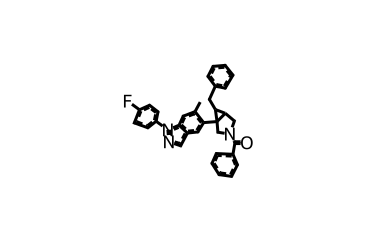 Cc1cc2c(cnn2-c2ccc(F)cc2)cc1C12CN(C(=O)c3ccccc3)CC1C2Cc1ccccc1